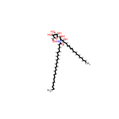 CCCCCCCCCCCCCCCCCCCCCCCCCC(=O)N[C@@H](C(O)[C@@H]1O[C@H](CO)[C@H](O)[C@H](O)[C@H]1O)[C@H](O)CCCCCCCCCCCCCCC